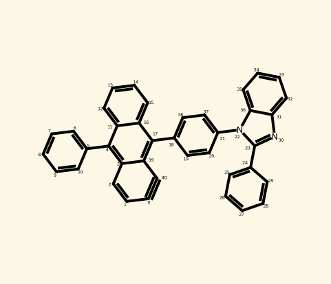 c1ccc2c(-c3ccccc3)c3ccccc3c(-c3ccc(-n4c(-c5ccccc5)nc5ccccc54)cc3)c2c#1